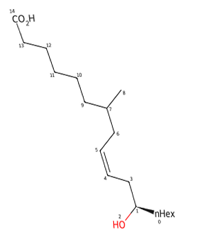 CCCCCC[C@@H](O)C/C=C\CC(C)CCCCCC(=O)O